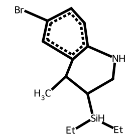 CC[SiH](CC)C1CNc2ccc(Br)cc2C1C